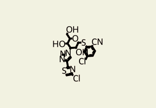 N#Cc1ccc(Cl)cc1SC1OC(CO)C(O)C(n2cc(-c3nc(Cl)cs3)nn2)C1O